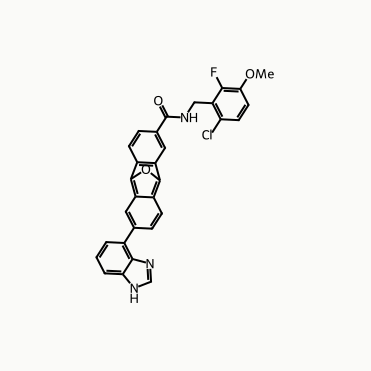 COc1ccc(Cl)c(CNC(=O)c2ccc3c(c2)c2oc3c3cc(-c4cccc5[nH]cnc45)ccc32)c1F